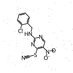 N#CSc1nc(NCc2ccccc2Cl)ncc1[N+](=O)[O-]